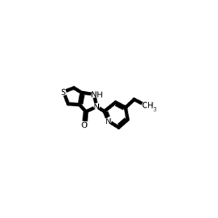 CCc1ccnc(-n2[nH]c3c(c2=O)CSC3)c1